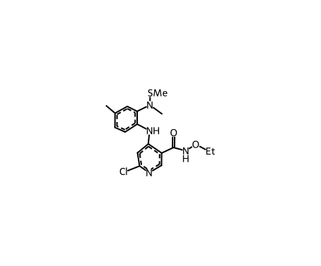 CCONC(=O)c1cnc(Cl)cc1Nc1ccc(C)cc1N(C)SC